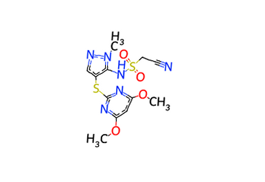 COc1cc(OC)nc(Sc2cnn(C)c2NS(=O)(=O)CC#N)n1